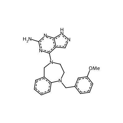 COc1cccc(CN2CCN(c3nc(N)nc4[nH]ncc34)Cc3ccccc32)c1